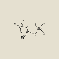 CCN(C[Si](C)(C)C)C[Si](C)(C)C